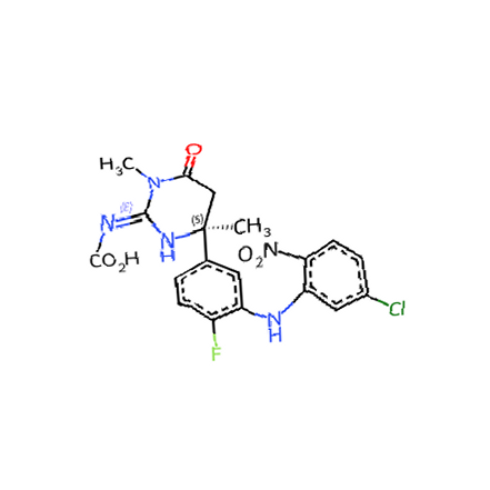 CN1C(=O)C[C@@](C)(c2ccc(F)c(Nc3cc(Cl)ccc3[N+](=O)[O-])c2)N/C1=N\C(=O)O